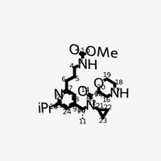 COC(=O)NCCCc1cc([C@@H](C)N(C(=O)[C@H]2CNCCO2)C2CC2)cc(C(C)C)n1